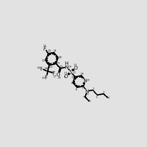 CCCCN(CC)c1ccc(S(=O)(=O)NC(=O)c2ccc(F)cc2C(F)(F)F)cn1